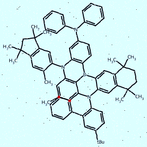 Cc1cc2c3c(c1)N(c1ccc(C(C)(C)C)cc1-c1ccccc1)c1cc4c(cc1B3c1ccc(N(c3ccccc3)c3ccccc3)cc1N2c1cc2c(cc1C)C(C)(C)CC2(C)C)C(C)(C)CCC4(C)C